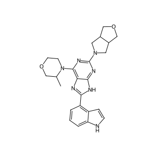 CC1COCCN1c1nc(N2CC3COCC3C2)nc2[nH]c(-c3cccc4[nH]ccc34)nc12